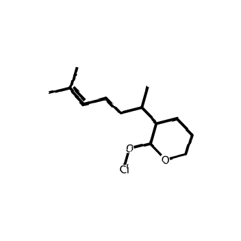 CC(C)=CCCC(C)C1CCCOC1OCl